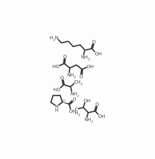 CC(N)C(=O)O.CC(O)C(N)C(=O)O.NC(CC(=O)O)C(=O)O.NCCCCC(N)C(=O)O.O=C(O)[C@@H]1CCCN1